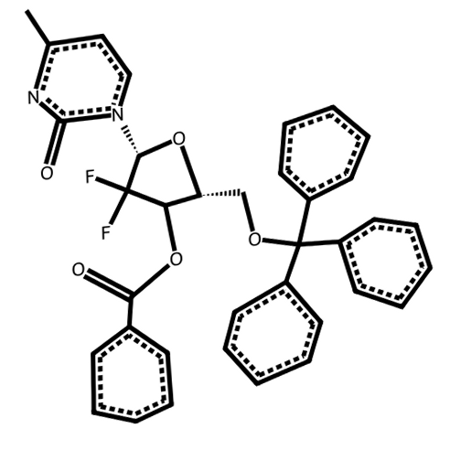 Cc1ccn([C@@H]2O[C@H](COC(c3ccccc3)(c3ccccc3)c3ccccc3)C(OC(=O)c3ccccc3)C2(F)F)c(=O)n1